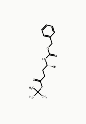 CC(C)(C)OC(=O)CC[C@@H](S)NC(=O)OCc1ccccc1